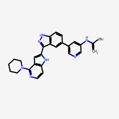 C=C(Nc1cncc(-c2ccc3[nH]nc(-c4cc5c(N6CCCCC6)nccc5[nH]4)c3c2)c1)C(C)(C)C